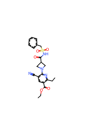 CCOC(=O)c1cc(C#N)c(N2CC(C(=O)NS(=O)(=O)Cc3ccccc3)C2)nc1CC